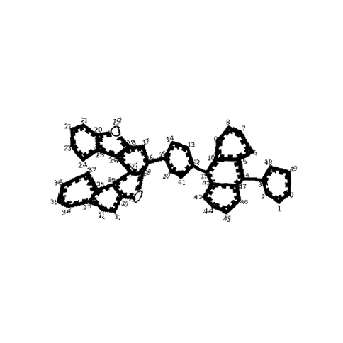 c1ccc(-c2c3ccccc3c(-c3ccc(-c4cc5oc6ccccc6c5c5c4oc4ccc6ccccc6c45)cc3)c3ccccc23)cc1